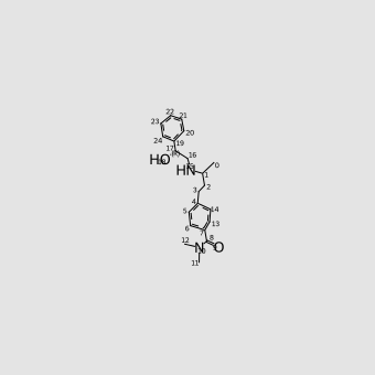 CC(CCc1ccc(C(=O)N(C)C)cc1)NC[C@H](O)c1ccccc1